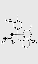 Cc1ccc(C(Cc2ccccc2)(NC(=O)NC(C)C)c2cc(F)cc(C(F)(F)F)c2)cc1C(F)(F)F